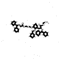 CCOC(=O)C(Cc1cccc(OCCCOC(=O)CN=C(c2ccccc2)c2ccccc2)c1OCc1ccccc1)N=C(c1ccccc1)c1ccccc1